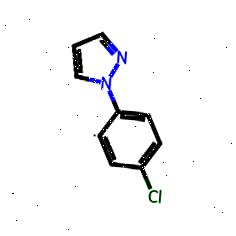 Clc1c[c]c(-n2cccn2)cc1